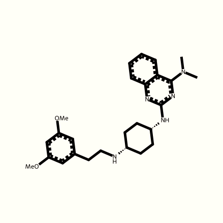 COc1cc(CCN[C@H]2CC[C@@H](Nc3nc(N(C)C)c4ccccc4n3)CC2)cc(OC)c1